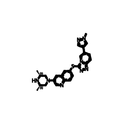 C[C@@H]1CN(c2cnc3ccc(Sc4nnc5ccc(-c6cnn(C)c6)cn45)cc3c2)C[C@H](C)N1